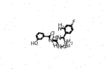 CC(C)(C)N/C(=N/C(=O)c1cccc(O)c1)NC(N)c1ccc(F)cc1N